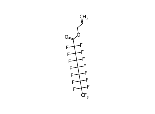 C=CCOC(=O)C(F)(F)C(F)(F)C(F)(F)C(F)(F)C(F)(F)C(F)(F)C(F)(F)C(F)(F)F